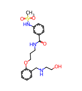 CS(=O)(=O)Nc1cccc(C(=O)NCCCOc2ccccc2CNCCO)c1